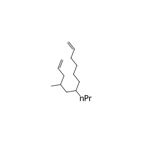 C=CCCCCC(CCC)CC(C)CC=C